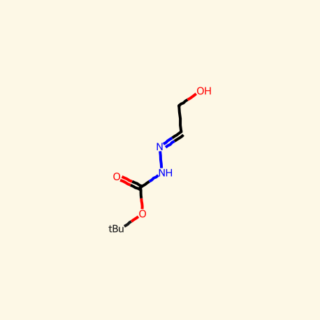 CC(C)(C)OC(=O)N/N=C/CO